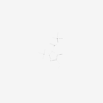 COC1=C(C)N(C(=O)OC(C)(C)C)[C@@H](C(C)(C)C)N1